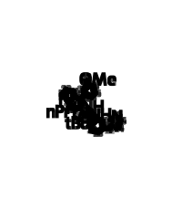 CCCn1c(=O)c(NC(=O)Nc2cc(Cn3ccnc3)ccc2C(C)(C)C)c(-c2cccc(OC)c2)c2cccnc21